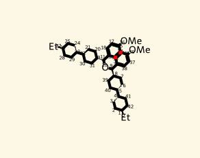 CC[C@H]1CC[C@H]([C@H]2CC[C@H](C(OC(c3ccc(OC)cc3)[C@H]3CC[C@H]([C@H]4CC[C@H](CC)CC4)CC3)c3ccc(OC)cc3)CC2)CC1